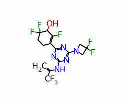 C=C(Nc1nc(C2=C(F)C(O)C(F)(F)CC2)nc(N2CC(F)(F)C2)n1)C(F)(F)F